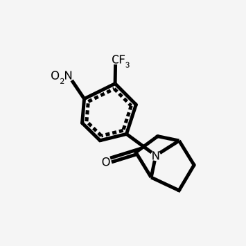 O=C1CC2CCC1N2c1ccc([N+](=O)[O-])c(C(F)(F)F)c1